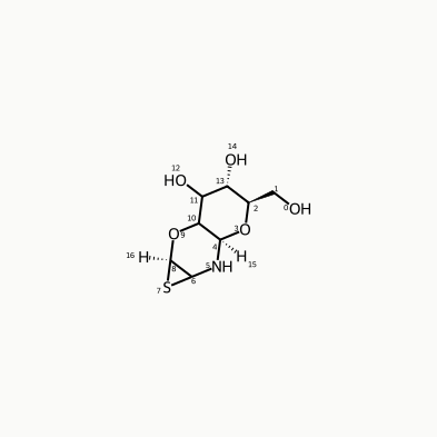 OC[C@H]1O[C@H]2NC3S[C@H]3OC2C(O)[C@@H]1O